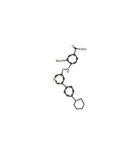 COC(=O)c1ccc(NSc2cncc(-c3ccc(C4CCCCC4)cc3)c2)c(OC)c1